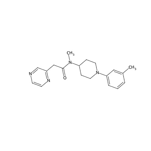 Cc1cccc(N2CCC(N(C)C(=O)Cc3cnccn3)CC2)c1